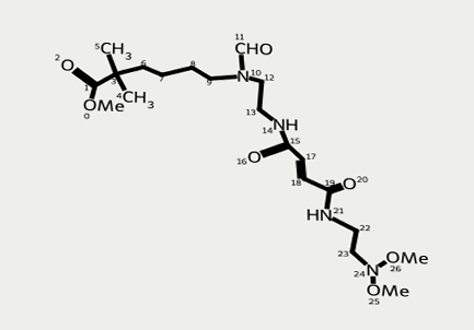 COC(=O)C(C)(C)CCCCN(C=O)CCNC(=O)/C=C/C(=O)NCCN(OC)OC